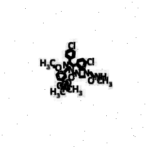 CCOc1ccc(S(=O)(=O)N(C)C)cc1C1=NC(c2ccc(Cl)cc2)C(c2ccc(Cl)cc2)N1C(=O)N1CCN(CC(=O)NC)CC1